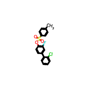 Cc1ccc(S(=O)(=O)Oc2ccc(-c3ccccc3Cl)cc2F)cc1